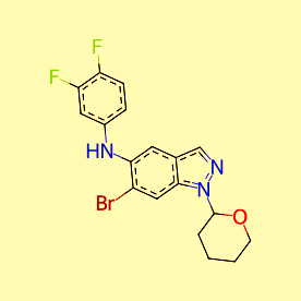 Fc1ccc(Nc2cc3cnn(C4CCCCO4)c3cc2Br)cc1F